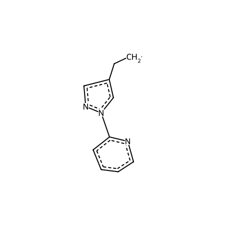 [CH2]Cc1cnn(-c2ccccn2)c1